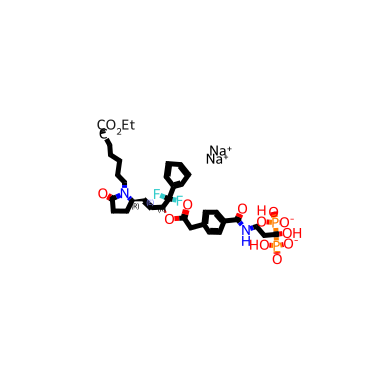 CCOC(=O)CCCCCCN1C(=O)CC[C@@H]1/C=C/[C@@H](OC(=O)Cc1ccc(C(=O)NCCC(O)(P(=O)([O-])O)P(=O)([O-])O)cc1)C(F)(F)c1ccccc1.[Na+].[Na+]